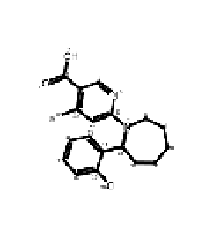 O=C(O)c1cnc(N2CCCCCC2c2ccccc2Cl)cc1F